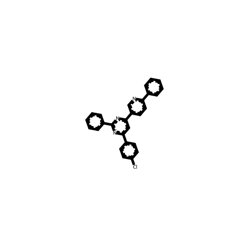 Clc1ccc(-c2cc(-c3ccc(-c4ccccc4)nc3)nc(-c3ccccc3)n2)cc1